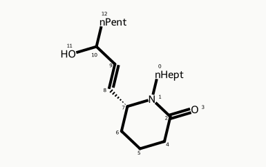 CCCCCCCN1C(=O)CCC[C@@H]1/C=C/C(O)CCCCC